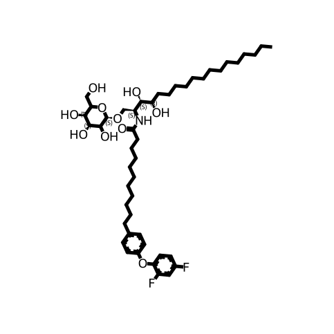 CCCCCCCCCCCCCC[C@@H](O)[C@@H](O)[C@H](CO[C@H]1OC(CO)[C@H](O)[C@H](O)C1O)NC(=O)CCCCCCCCCCc1ccc(Oc2ccc(F)cc2F)cc1